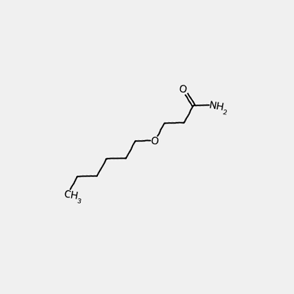 CCCCCCOCCC(N)=O